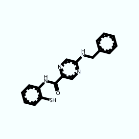 O=C(Nc1ccccc1S)c1cnc(NCc2ccccc2)cn1